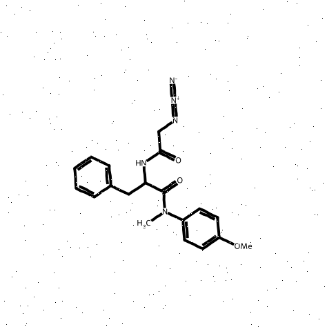 COc1ccc(N(C)C(=O)C(Cc2ccccc2)NC(=O)CN=[N+]=[N-])cc1